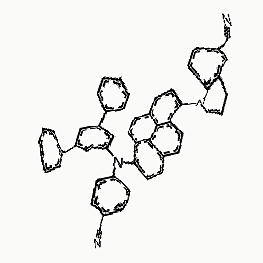 N#Cc1ccc(N(c2cc(-c3ccccc3)cc(-c3ccccc3)c2)c2ccc3ccc4c(N5C=CCc6cc(C#N)ccc65)ccc5ccc2c3c54)cc1